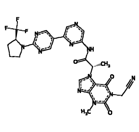 C[C@@H](C(=O)Nc1cncc(-c2cnc(N3CCC[C@H]3C(F)(F)F)nc2)n1)n1cnc2c1c(=O)n(CC#N)c(=O)n2C